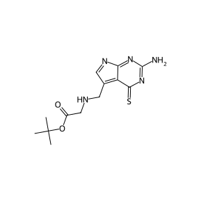 CC(C)(C)OC(=O)CNCC1=C2C(=S)N=C(N)N=C2N=C1